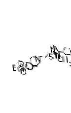 CCS(=O)(=O)c1ccc2c(c1)CCN(CCCSc1nnc(C3CCCCC3)n1C)CC2